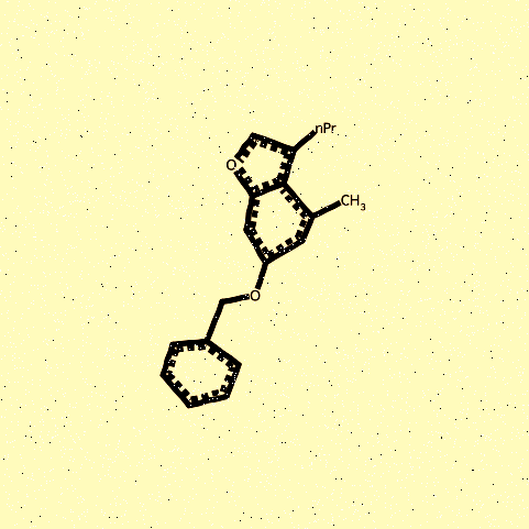 CCCc1coc2cc(OCc3ccccc3)cc(C)c12